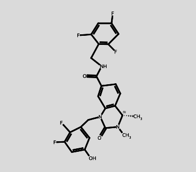 C[C@H]1c2ccc(C(=O)NCc3c(F)cc(F)cc3F)cc2N(Cc2cc(O)cc(F)c2F)C(=O)N1C